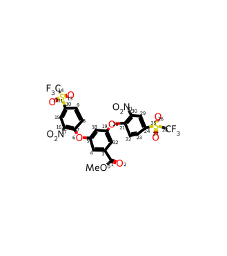 COC(=O)c1cc(Oc2ccc(S(=O)(=O)C(F)(F)F)cc2[N+](=O)[O-])cc(Oc2ccc(S(=O)(=O)C(F)(F)F)cc2[N+](=O)[O-])c1